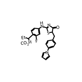 CCC(C(=O)O)c1ccc(NC2=NC(=O)C(Cc3ccc(-n4cccc4)cc3)S2)cc1F